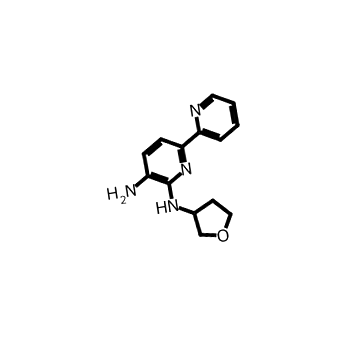 Nc1ccc(-c2ccccn2)nc1NC1CCOC1